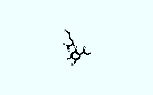 CCC(=O)c1cc(Br)c(F)cc1OC(CCCF)C(=O)O